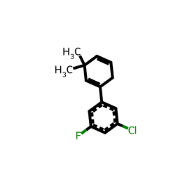 CC1(C)C=CCC(c2cc(F)cc(Cl)c2)=C1